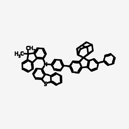 CC1(C)c2ccccc2-c2c(N(c3ccc(-c4ccc5c(c4)C4(c6cc(-c7ccccc7)ccc6-5)C5CC6CC(C5)CC4C6)cc3)c3cccc4sc5ccccc5c34)cccc21